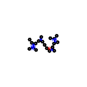 c1ccc(-c2ccc3c(c2)c2cc(-c4ccc5c(c4)c4cc(-c6ccc(-c7ccc8c(c7)oc7c(-n9c%10ccccc%10c%10cc(-c%11ccc%12c(c%11)c%11ccccc%11n%12-c%11nc(-c%12ccccc%12)cc(-c%12ccccc%12)n%11)ccc%109)cccc78)cc6)ccc4n5-c4ccccc4)ccc2n3-c2nc(-c3ccccc3)nc(-c3ccccc3)n2)cc1